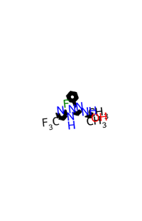 CC(C)(O)CNc1cc(Nc2cncc(C(F)(F)F)c2)nc(-c2ccccc2F)n1